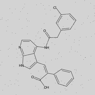 O=C(Cc1cccc(Cl)c1)Nc1ccnc2[nH]cc(C=C(C(=O)O)c3ccccc3)c12